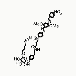 COc1cc(/N=N/c2ccc([N+](=O)[O-])cc2)c(OC)cc1N=Nc1ccc(N(C)CCCC(=O)NCCc2ccc(O[C@@H]3O[C@H](COCCCCN=[N+]=[N-])[C@@H](O)[C@H](O)[C@H]3O)cc2)cc1